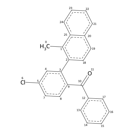 Cc1c(-c2cc(Cl)ccc2C(=O)c2ccccc2)ccc2ccccc12